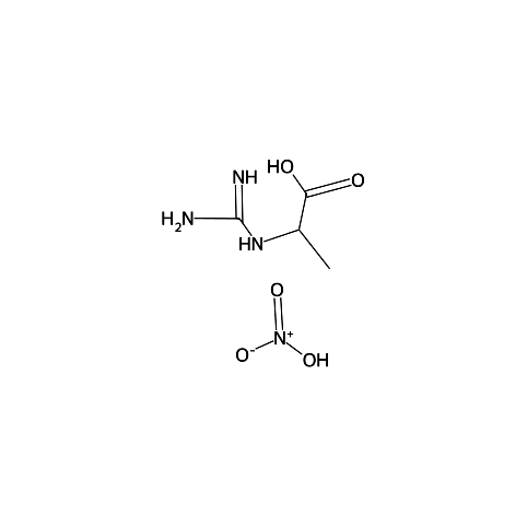 CC(NC(=N)N)C(=O)O.O=[N+]([O-])O